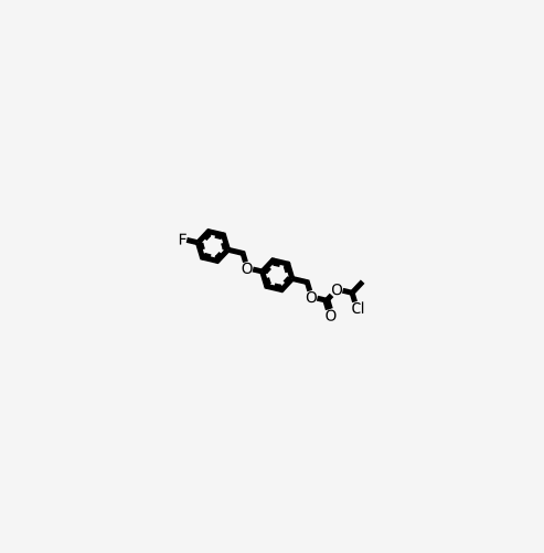 CC(Cl)OC(=O)OCc1ccc(OCc2ccc(F)cc2)cc1